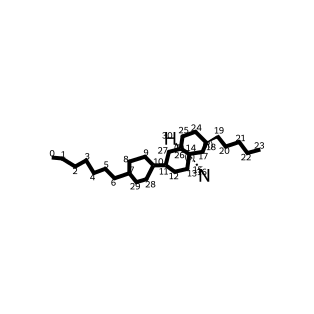 CCCCCCCC1CCC(C2CC[C@]3(C#N)C[C@H](CCCCC)CC[C@@H]3C2)CC1